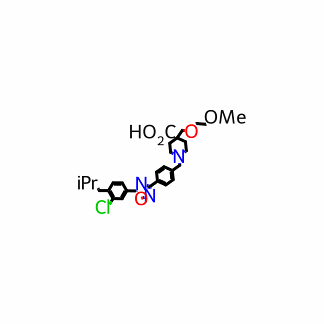 COCCOCC1(C(=O)O)CCN(Cc2ccc(-c3noc(-c4ccc(CC(C)C)c(Cl)c4)n3)cc2)CC1